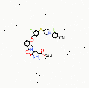 CC(C)(C)OC(=O)CC[C@@H](C(N)=O)N1Cc2c(OCc3ccc(SC4CCN(c5ccc(C#N)cc5F)CC4)cc3F)cccc2C1=O